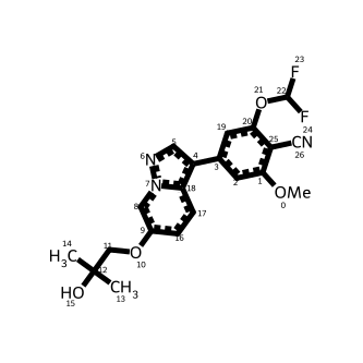 COc1cc(-c2cnn3cc(OCC(C)(C)O)ccc23)cc(OC(F)F)c1C#N